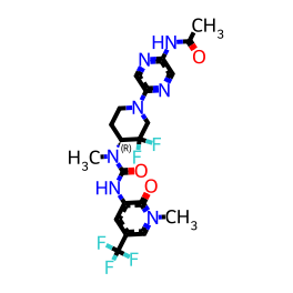 CC(=O)Nc1cnc(N2CC[C@@H](N(C)C(=O)Nc3cc(C(F)(F)F)cn(C)c3=O)C(F)(F)C2)cn1